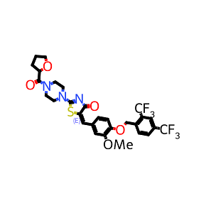 COc1cc(/C=C2/SC(N3CCN(C(=O)C4CCCO4)CC3)=NC2=O)ccc1OCc1ccc(C(F)(F)F)cc1C(F)(F)F